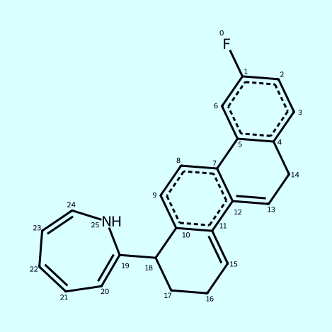 Fc1ccc2c(c1)-c1ccc3c(c1=CC2)=CCCC3C1=CC=CC=CN1